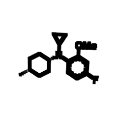 COc1cc(F)ccc1N(C1CC1)[C@H]1CC[C@@H](C)CC1